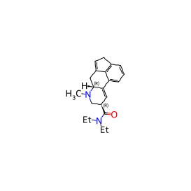 CCN(CC)C(=O)[C@@H]1C=C2c3cccc4c3C(=CC4)C[C@H]2N(C)C1